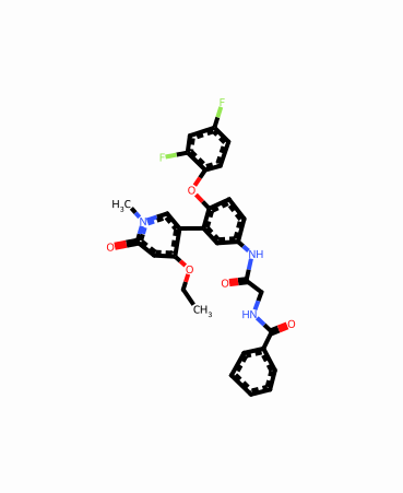 CCOc1cc(=O)n(C)cc1-c1cc(NC(=O)CNC(=O)c2ccccc2)ccc1Oc1ccc(F)cc1F